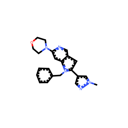 Cn1cc(-c2cc3cnc(N4CCOCC4)cc3n2Cc2ccccc2)cn1